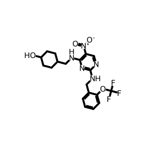 O=[N+]([O-])c1cnc(NCc2ccccc2OC(F)(F)F)nc1NCC1CCC(O)CC1